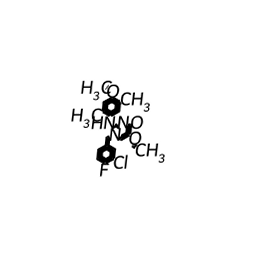 CCOc1cn(Cc2ccc(F)c(Cl)c2)c(Nc2cc(C)c(OC)cc2C)nc1=O